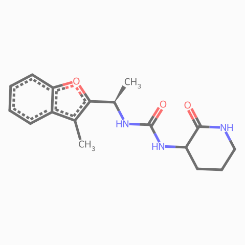 Cc1c([C@@H](C)NC(=O)NC2CCCNC2=O)oc2ccccc12